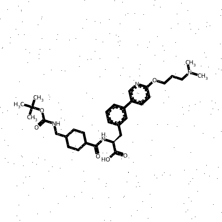 CN(C)CCCOc1ccc(-c2cccc(C[C@H](NC(=O)C3CCC(CNC(=O)OC(C)(C)C)CC3)C(=O)O)c2)cn1